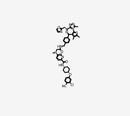 Cc1sc2c(c1C)C(c1ccc(CNC(=O)CN(C)c3ccc(C(=O)N[C@H]4CC[C@H](Oc5ccc(C#N)c(Cl)c5)CC4)nn3)cc1)=N[C@@H](Cc1ncco1)c1nnc(C)n1-2